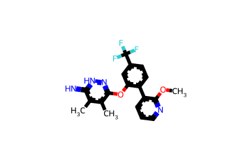 COc1ncccc1-c1ccc(C(F)(F)F)cc1Oc1n[nH]c(=N)c(C)c1C